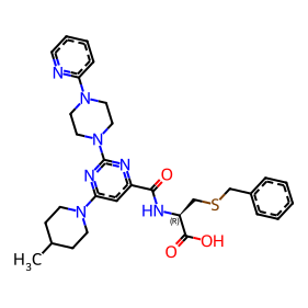 CC1CCN(c2cc(C(=O)N[C@@H](CSCc3ccccc3)C(=O)O)nc(N3CCN(c4ccccn4)CC3)n2)CC1